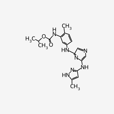 Cc1cc(Nc2cncc(Nc3ccc(C)c(NC(=O)OC(C)C)c3)n2)n[nH]1